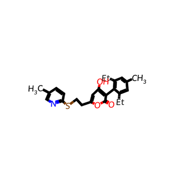 CCc1cc(C)cc(CC)c1-c1c(O)cc(CCSc2ccc(C)cn2)oc1=O